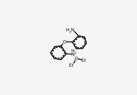 CCOCC.Nc1ccccc1Oc1ccccc1N